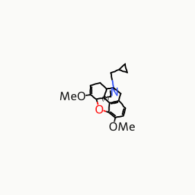 COC1=CCC2C3Cc4ccc(OC)c5c4[C@]2(CCN3CC2CC2)C1O5